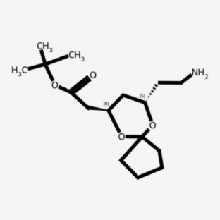 CC(C)(C)OC(=O)C[C@H]1C[C@H](CCN)OC2(CCCC2)O1